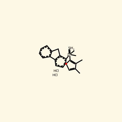 CC1=CC[C]([Zr]([CH3])([CH3])(=[SiH2])[c]2cccc3c2Cc2ccccc2-3)=C1C.Cl.Cl